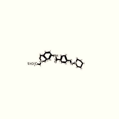 CCOC(=O)CN1CCc2ccc(NC(=O)c3ccc(C=NN4CCCCC4)cc3)cc2C1